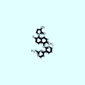 CCC1CCN(c2c(F)ccc3c(Oc4ncccc4-c4ccnc(N)n4)c(C)ccc23)C1=O